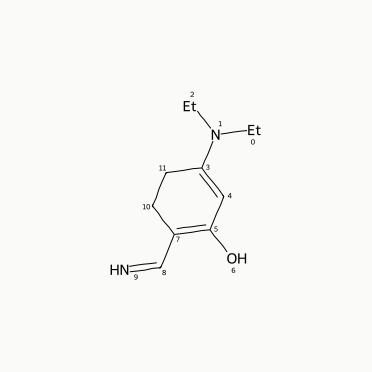 CCN(CC)C1=CC(O)=C(C=N)CC1